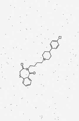 O=C1CSc2ccccc2C(=O)N1CCCCN1CCC(c2ccc(Cl)cc2)CC1